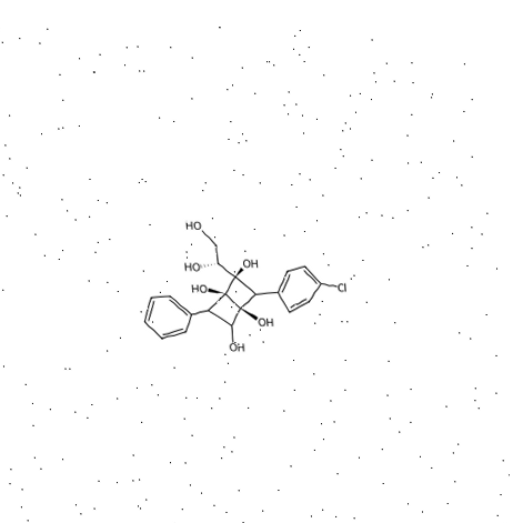 OC[C@@H](O)[C@]1(O)C(c2ccc(Cl)cc2)[C@]2(O)C(O)C(c3ccccc3)[C@@]21O